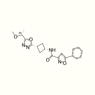 CO[C@H](C)c1nnc([C@H]2C[C@@H](NC(=O)c3cc(-c4ccccc4)on3)C2)o1